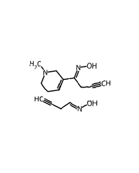 C#CCC(=NO)C1=CCCN(C)C1.C#CCC=NO